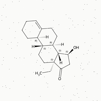 CC[C@]12CC[C@H]3[C@@H](CCC4=CCCC[C@@H]43)[C@@H]1[C@@H](O)CC2=O